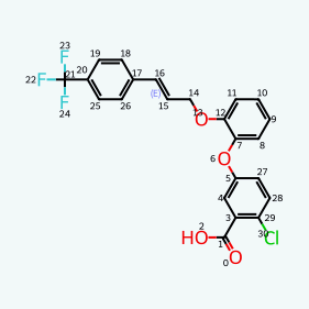 O=C(O)c1cc(Oc2ccccc2OC/C=C/c2ccc(C(F)(F)F)cc2)ccc1Cl